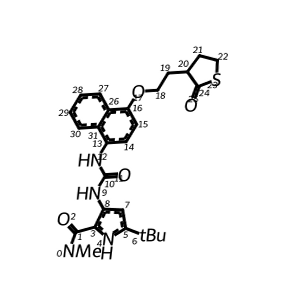 CNC(=O)c1[nH]c(C(C)(C)C)cc1NC(=O)Nc1ccc(OCCC2CCSC2=O)c2ccccc12